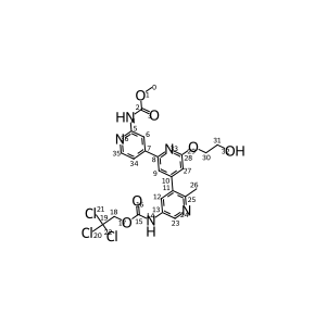 COC(=O)Nc1cc(-c2cc(-c3cc(NC(=O)OCC(Cl)(Cl)Cl)cnc3C)cc(OCCO)n2)ccn1